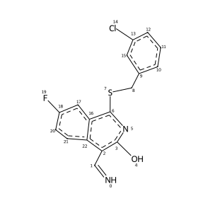 N=Cc1c(O)nc(SCc2cccc(Cl)c2)c2cc(F)ccc12